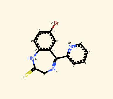 S=C1CN=C(c2ccccn2)c2cc(Br)ccc2N1